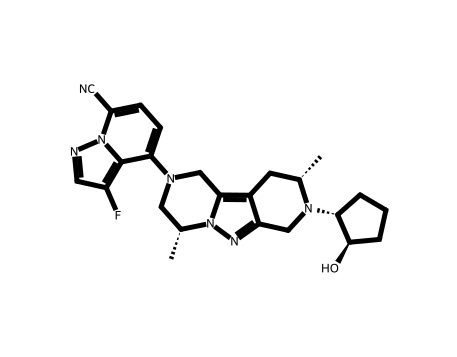 C[C@@H]1CN(c2ccc(C#N)n3ncc(F)c23)Cc2c3c(nn21)CN([C@@H]1CCC[C@H]1O)[C@@H](C)C3